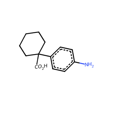 Nc1ccc(C2(C(=O)O)CCCCC2)cc1